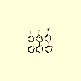 Fc1ccc(-c2ccccn2)cc1.Fc1ccc(-c2ccccn2)cc1.Fc1ccc(-c2ccccn2)cc1.[Ir]